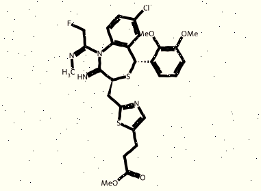 C/N=C(/CF)N1C(=N)[C@H](Cc2ncc(CCC(=O)OC)s2)S[C@@H](c2cccc(OC)c2OC)c2cc(Cl)ccc21